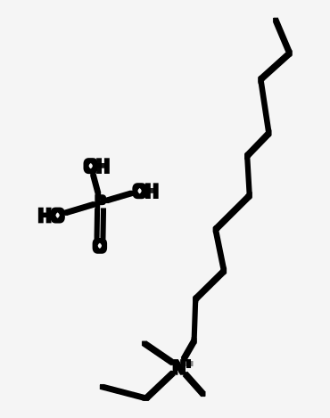 CCCCCCCCCC[N+](C)(C)CC.O=P(O)(O)O